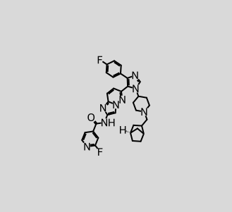 O=C(Nc1cn2nc(-c3c(-c4ccc(F)cc4)ncn3C3CCN(CC4C[C@@H]5CCC4C5)CC3)ccc2n1)c1ccnc(F)c1